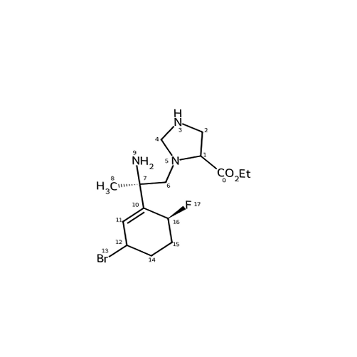 CCOC(=O)C1CNCN1C[C@](C)(N)C1=CC(Br)CC[C@@H]1F